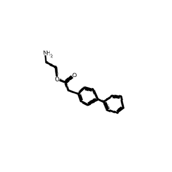 NCCOC(=O)Cc1ccc(-c2ccccc2)cc1